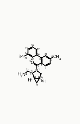 Cc1ccc(C(=O)N2C[C@H]3C[C@H]3[C@H]2CN)c(-c2cccc(C(C)C)c2)c1